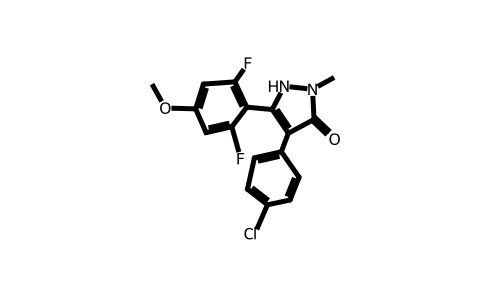 COc1cc(F)c(-c2[nH]n(C)c(=O)c2-c2ccc(Cl)cc2)c(F)c1